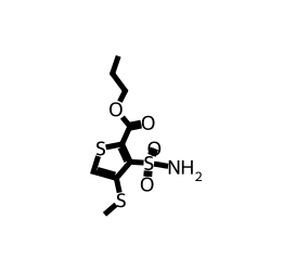 CCCOC(=O)c1scc(SC)c1S(N)(=O)=O